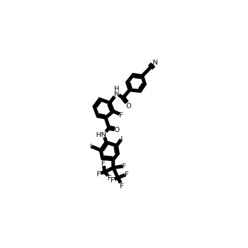 N#Cc1ccc(C(=O)Nc2cccc(C(=O)Nc3c(I)cc(C(F)(C(F)(F)F)C(F)(F)F)cc3I)c2F)cc1